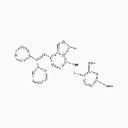 COc1ccc(CNc2ncc(N=C(c3ccccc3)c3ccccc3)c3cnn(C)c23)c(OC)c1